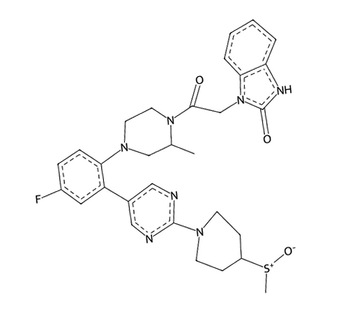 CC1CN(c2ccc(F)cc2-c2cnc(N3CCC([S+](C)[O-])CC3)nc2)CCN1C(=O)Cn1c(=O)[nH]c2ccccc21